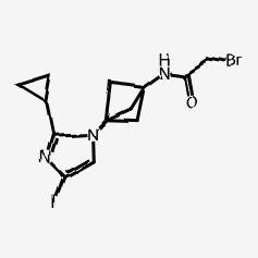 O=C(CBr)NC12CC(n3cc(I)nc3C3CC3)(C1)C2